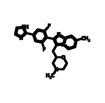 Cc1ccn2c(CC3CN(C)CCO3)c(-c3c(F)cc(-c4ncc[nH]4)cc3F)nc2c1